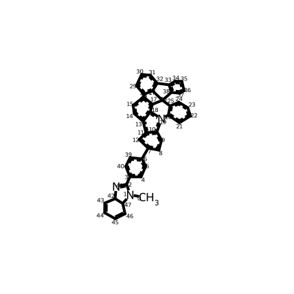 CN1C(c2ccc(-c3ccc4c(c3)c3cccc5c3n4-c3ccccc3C53c4ccccc4-c4ccccc43)cc2)=NC2C=CC=CC21